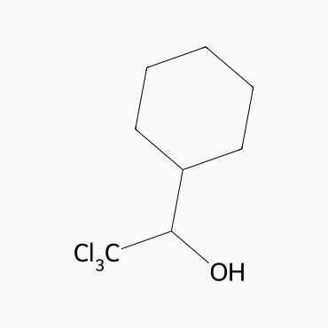 OC(C1CCCCC1)C(Cl)(Cl)Cl